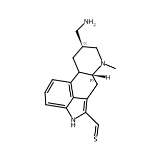 CN1C[C@H](CN)CC2c3cccc4[nH]c(C=S)c(c34)C[C@H]21